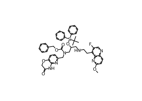 COc1ccc2ncc(F)c(CCNCC(CN(Cc3ccc4c(n3)NC(=O)CO4)C(=O)OCc3ccccc3)O[Si](c3ccccc3)(c3ccccc3)C(C)(C)C)c2n1